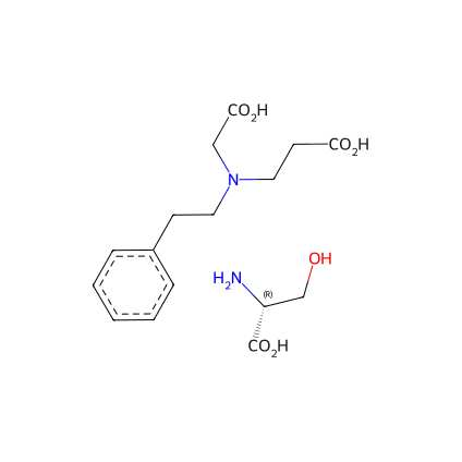 N[C@H](CO)C(=O)O.O=C(O)CCN(CCc1ccccc1)CC(=O)O